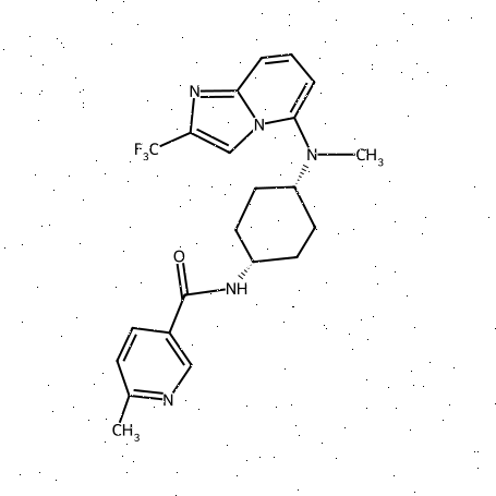 Cc1ccc(C(=O)N[C@H]2CC[C@@H](N(C)c3cccc4nc(C(F)(F)F)cn34)CC2)cn1